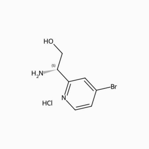 Cl.N[C@H](CO)c1cc(Br)ccn1